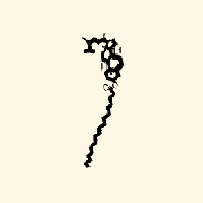 CCCCCCCCC=CCCCCCCCC(=O)OC1CC[C@@]2(C)C(=CC=C3[C@@H]4CC[C@H]([C@H](C)C=C[C@H](C)C(C)C)[C@@]4(C)CC[C@@H]32)C1